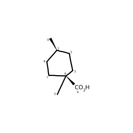 C[C@H]1CC[C@@](C)(C(=O)O)CC1